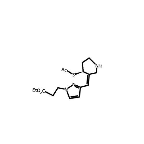 CCOC(=O)CCn1ccc(C=C2CNCC[C@@H]2SC(C)=O)n1